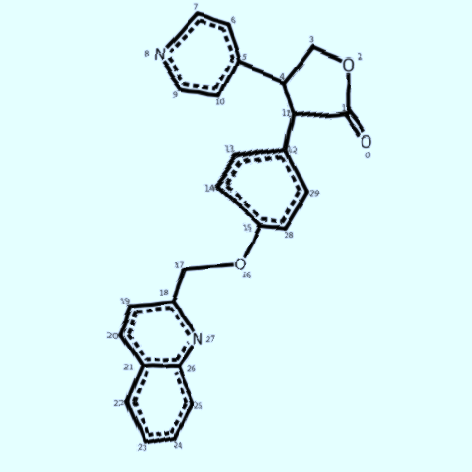 O=C1OCC(c2ccncc2)C1c1ccc(OCc2ccc3ccccc3n2)cc1